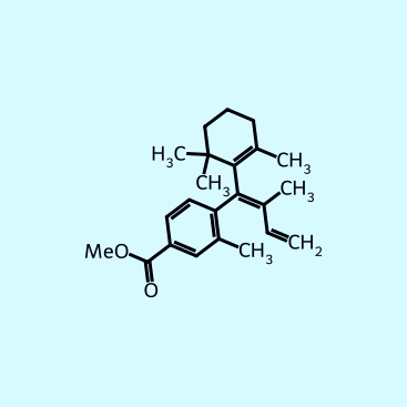 C=C/C(C)=C(/C1=C(C)CCCC1(C)C)c1ccc(C(=O)OC)cc1C